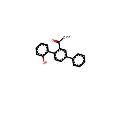 COC(=O)c1cc(-c2ccccc2)ccc1-c1ccccc1O